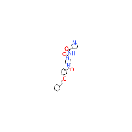 O=C(NC(=O)N1CCN(C(=O)c2cccc(OCCC3CCCCC3)c2)CC1)C1=CCCN=C1